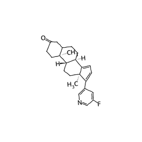 C[C@]12CC[C@H]3[C@@H](CCC4CC(=O)CC[C@@]43C)C1=CC=C2c1cncc(F)c1